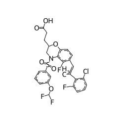 CC(=Cc1ccc2c(c1F)N(S(=O)(=O)c1cccc(OC(F)F)c1)CC(CCC(=O)O)O2)c1c(F)cccc1Cl